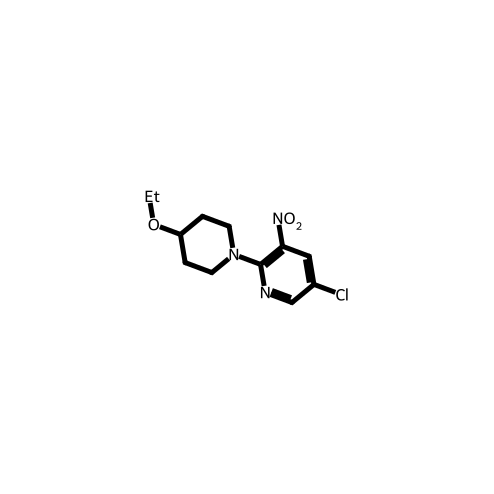 CCOC1CCN(c2ncc(Cl)cc2[N+](=O)[O-])CC1